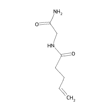 C=CCCC(=O)NCC(N)=O